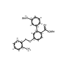 COC(=O)c1ccc(OCc2ncccc2C)cc1-c1cccc(OC)c1